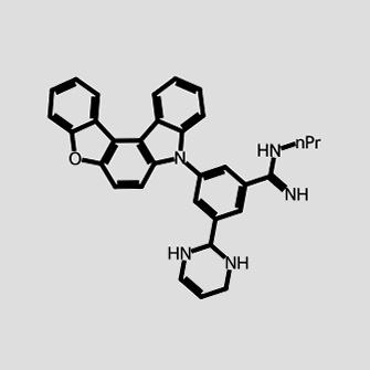 CCCNC(=N)c1cc(C2NC=CCN2)cc(-n2c3ccccc3c3c4c(ccc32)oc2ccccc24)c1